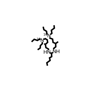 CCCCCC(NCCC(C)CCC[16N](CCCC)CCCC)NCCC(C)CCC[16N](CCCC)CCCC